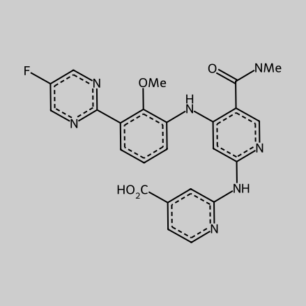 CNC(=O)c1cnc(Nc2cc(C(=O)O)ccn2)cc1Nc1cccc(-c2ncc(F)cn2)c1OC